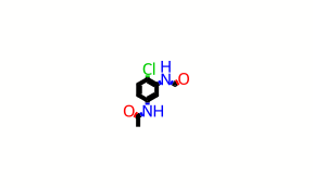 CC(=O)Nc1ccc(Cl)c(NC=O)c1